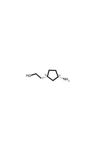 N[C@H]1CC[C@@H](CCO)C1